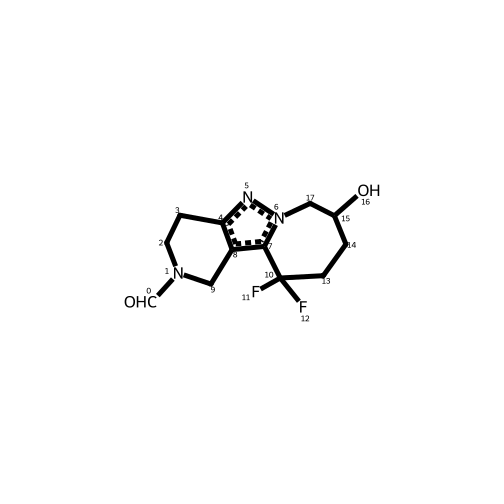 O=CN1CCc2nn3c(c2C1)C(F)(F)CCC(O)C3